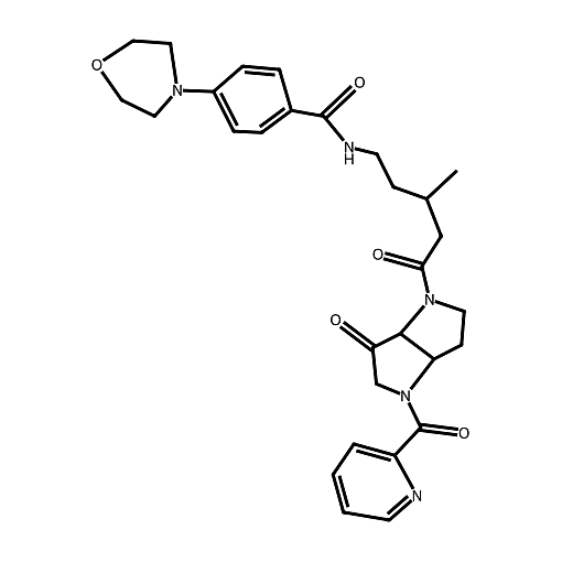 CC(CCNC(=O)c1ccc(N2CCOCC2)cc1)CC(=O)N1CCC2C1C(=O)CN2C(=O)c1ccccn1